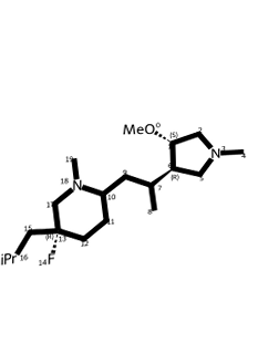 CO[C@@H]1CN(C)C[C@H]1C(C)CC1CC[C@@](F)(CC(C)C)CN1C